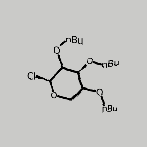 CCCCOC1CO[C@@H](Cl)C(OCCCC)[C@H]1OCCCC